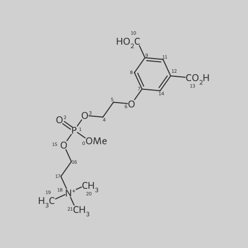 COP(=O)(OCCOc1cc(C(=O)O)cc(C(=O)O)c1)OCC[N+](C)(C)C